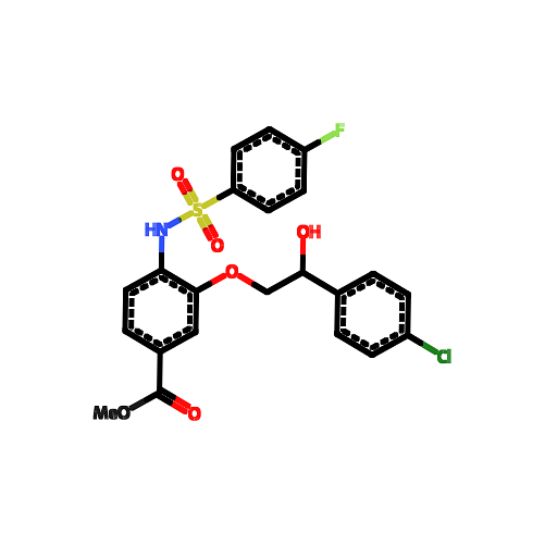 COC(=O)c1ccc(NS(=O)(=O)c2ccc(F)cc2)c(OCC(O)c2ccc(Cl)cc2)c1